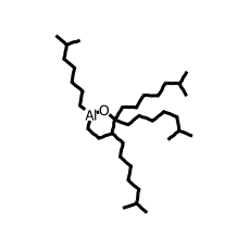 CC(C)CCCCCC1C[CH2][Al]([CH2]CCCCC(C)C)[O]C1(CCCCCC(C)C)CCCCCC(C)C